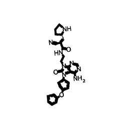 N#CC(=C[C@@H]1CCCN1)C(=O)NCCn1c(=O)n(-c2ccc(Oc3ccccc3)cc2)c2c(N)ncnc21